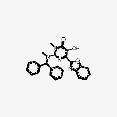 CN(c1nc(-c2nc3ccccc3o2)c(O)c(=O)n1C)C(c1ccccc1)c1ccccc1